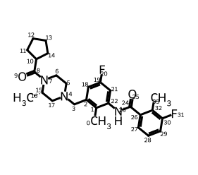 Cc1c(CN2CCN(C(=O)C3CCCC3)[C@@H](C)C2)cc(F)cc1NC(=O)c1cccc(F)c1C